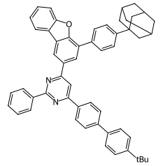 CC(C)(C)c1ccc(-c2ccc(-c3cc(-c4cc(-c5ccc(C67CC8CC(CC(C8)C6)C7)cc5)c5oc6ccccc6c5c4)nc(-c4ccccc4)n3)cc2)cc1